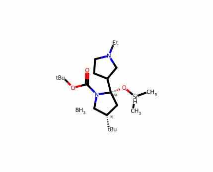 B.CCN1CCC([C@@]2(O[SiH](C)C)C[C@H](C(C)(C)C)CN2C(=O)OC(C)(C)C)C1